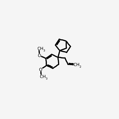 C=CCC1(C23C=CC(CC2)C3)C=C(OC)C(OC)=CC1